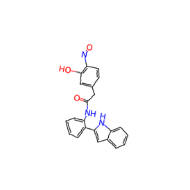 O=Nc1ccc(CC(=O)Nc2ccccc2-c2cc3ccccc3[nH]2)cc1O